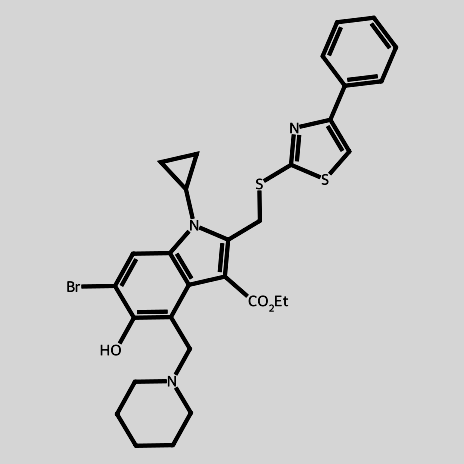 CCOC(=O)c1c(CSc2nc(-c3ccccc3)cs2)n(C2CC2)c2cc(Br)c(O)c(CN3CCCCC3)c12